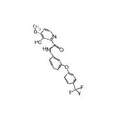 COc1ccnc(C(=O)Nc2cccc(Oc3ccc(C(F)(F)F)cc3)c2)c1O